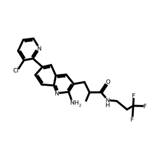 CC(Cc1cc2cc(-c3ncccc3Cl)ccc2nc1N)C(=O)NCCC(F)(F)F